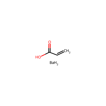 C=CC(=O)O.[BaH2]